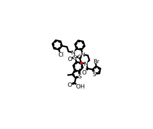 Cc1c(C(=O)O)sc2ccc(S(=O)(=O)N(CCc3ccccc3Cl)c3ccccc3N3CCN(C(=O)c4sccc4Br)CC3)cc12